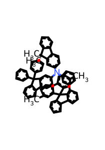 Cc1ccc2c(c1)C1(c3cc(C)ccc3-2)c2ccccc2-c2cccc(-c3cccc(N(c4ccc5c(c4)C(C)(C)c4ccccc4-5)c4ccc5c(c4)C(c4ccccc4)(c4ccccc4)c4ccccc4-5)c3)c21